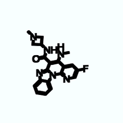 CNc1c(C(=O)NC2CN(C)C2)c2nc3ccccc3n2c2ncc(F)cc12